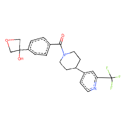 O=C(c1ccc(C2(O)COC2)cc1)N1CCC(c2ccnc(C(F)(F)F)c2)CC1